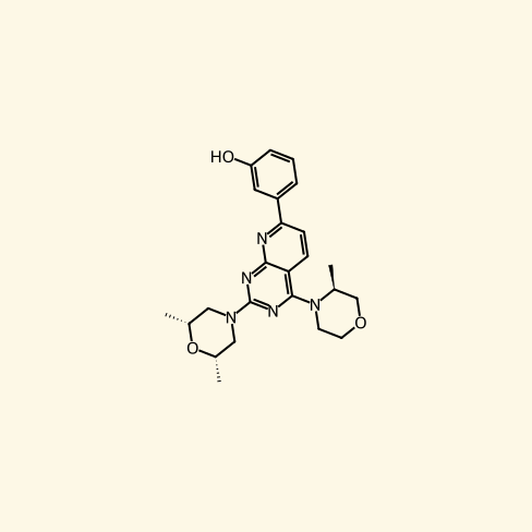 C[C@@H]1CN(c2nc(N3CCOC[C@@H]3C)c3ccc(-c4cccc(O)c4)nc3n2)C[C@H](C)O1